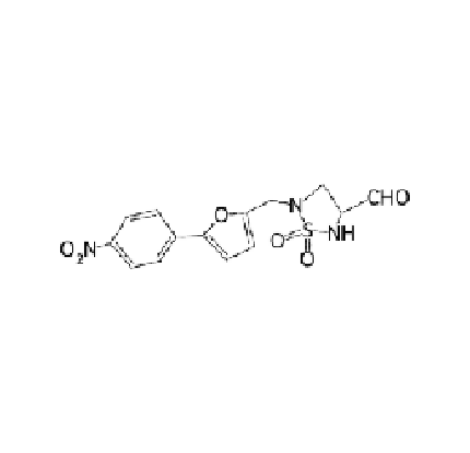 O=CC1CN(Cc2ccc(-c3ccc([N+](=O)[O-])cc3)o2)S(=O)(=O)N1